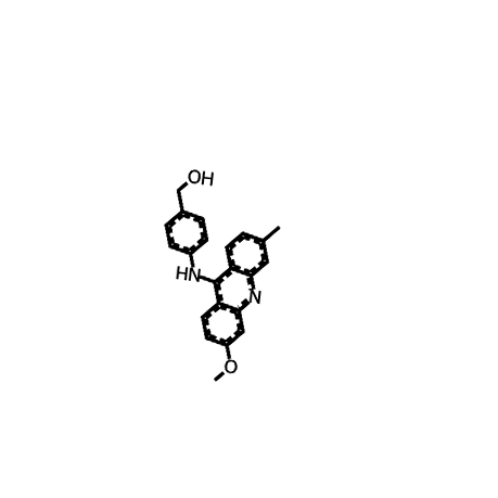 COc1ccc2c(Nc3ccc(CO)cc3)c3ccc(C)cc3nc2c1